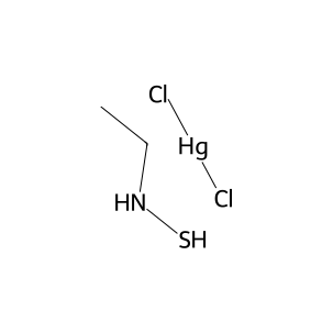 CCNS.[Cl][Hg][Cl]